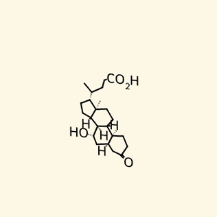 CC(CCC(=O)O)[C@H]1CC[C@H]2[C@@H]3[C@@H](O)C[C@@H]4CC(=O)CC[C@]4(C)[C@H]3CC[C@]12C